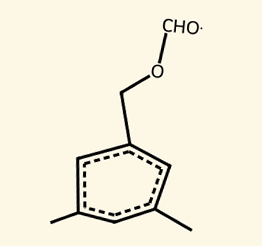 Cc1cc(C)cc(CO[C]=O)c1